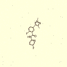 Cc1nn(C)cc1-c1ccc(F)c(C(=O)Nc2ccc(F)cn2)c1